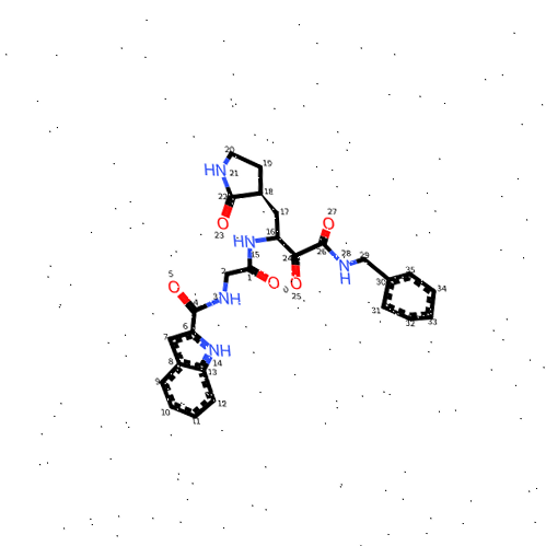 O=C(CNC(=O)c1cc2ccccc2[nH]1)NC(C[C@@H]1CCNC1=O)C(=O)C(=O)NCc1ccccc1